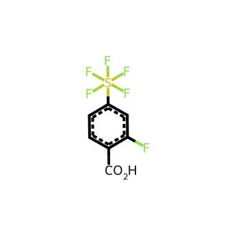 O=C(O)c1ccc(S(F)(F)(F)(F)F)cc1F